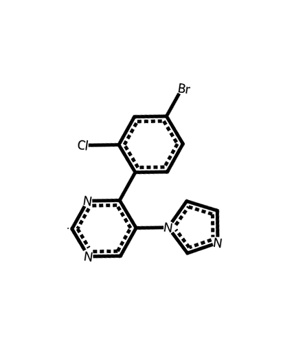 Clc1cc(Br)ccc1-c1n[c]ncc1-n1ccnc1